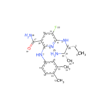 CC[C@@H](Nc1nc(Nc2ccc(C)c(C)c2)c(C(N)=O)cc1F)[C@H](C)N